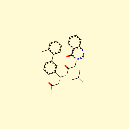 Cc1ccccc1-c1cccc([C@H](CC(=O)O)NC(=O)[C@H](CC(C)C)n2cnc3ccccc3c2=O)c1